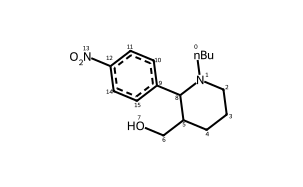 CCCCN1CCCC(CO)C1c1ccc([N+](=O)[O-])cc1